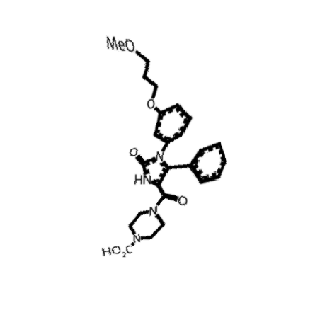 COCCCOc1cccc(-n2c(-c3ccccc3)c(C(=O)N3CCN(C(=O)O)CC3)[nH]c2=O)c1